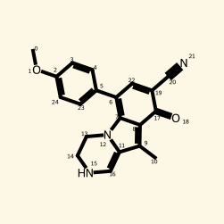 COc1ccc(C2=c3c(c(C)c4n3CCNC=4)C(=O)C(C#N)=C2)cc1